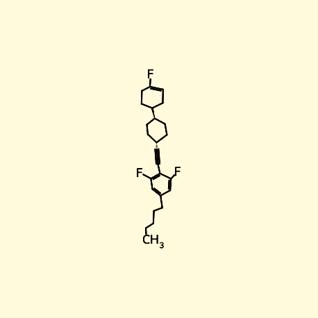 CCCCCc1cc(F)c(C#C[C@H]2CC[C@H](C3CC=C(F)CC3)CC2)c(F)c1